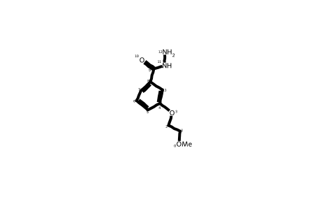 COCCOc1cccc(C(=O)NN)c1